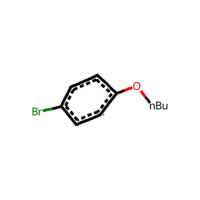 CCCCOc1[c]cc(Br)cc1